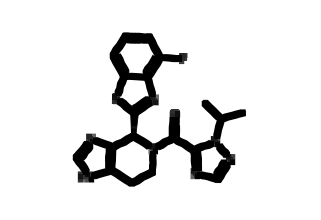 CC(C)n1ncnc1C(=O)N1CCc2[nH]cnc2[C@H]1c1nc2c(F)cccc2s1